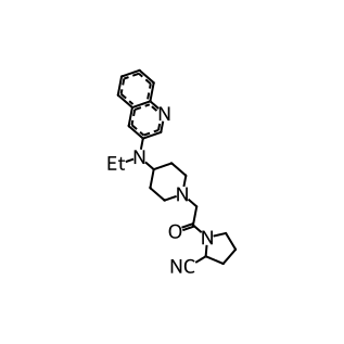 CCN(c1cnc2ccccc2c1)C1CCN(CC(=O)N2CCCC2C#N)CC1